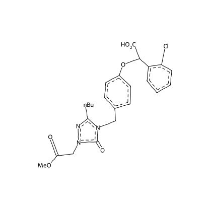 CCCCc1nn(CC(=O)OC)c(=O)n1Cc1ccc(OC(C(=O)O)c2ccccc2Cl)cc1